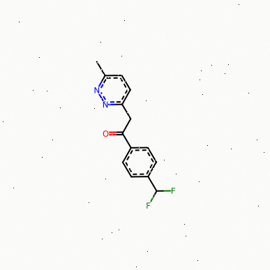 Cc1ccc(CC(=O)c2ccc(C(F)F)cc2)nn1